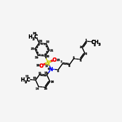 C/C=C\C=C/C/C=C/CN(C1=CC(C)CC=C1)S(=O)(=O)c1ccc(C)cc1